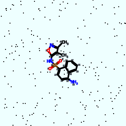 Cc1noc(NS(=O)(=O)c2ccc(N)c3ccccc23)c1C